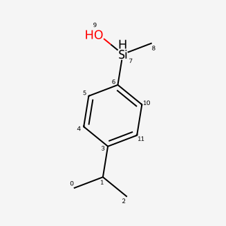 CC(C)c1ccc([SiH](C)O)cc1